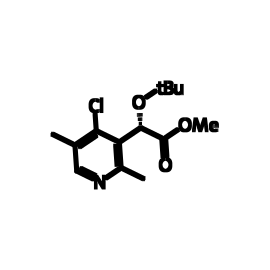 COC(=O)[C@@H](OC(C)(C)C)c1c(C)ncc(C)c1Cl